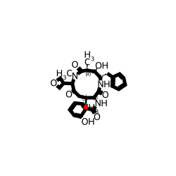 C[C@H]1CC(=O)C(C2COC2)N(C)C(=O)[C@H](C)[C@H](O)[C@H](Cc2ccccc2)NC(=O)[C@H]1NC(=O)c1ccccc1O